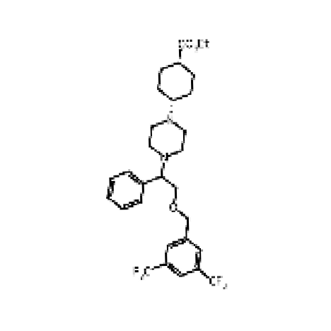 CCOC(=O)[C@H]1CC[C@H](N2CCN(C(COCc3cc(C(F)(F)F)cc(C(F)(F)F)c3)c3ccccc3)CC2)CC1